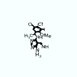 COc1c(C(C)Nc2ncnc(N)c2C=N)cc(Cl)c(Cl)c1I